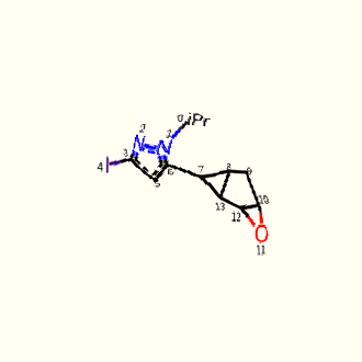 CC(C)n1nc(I)cc1C1C2CC3OC3C21